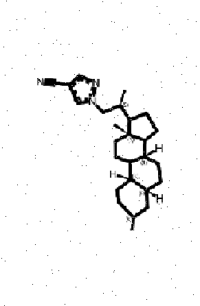 C[C@H]1CC[C@@H]2C3CC[C@@]4(C)C(CCC4[C@H](C)Cn4cc(C#N)cn4)[C@@H]3CC[C@@H]2C1